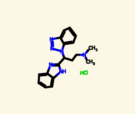 CN(C)CCC(c1nc2ccccc2[nH]1)n1nnc2ccccc21.Cl